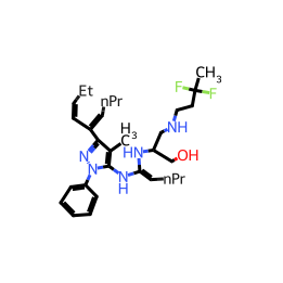 CC/C=C\C(=C/CCC)c1nn(-c2ccccc2)c(N/C(=C/CCC)NC(CO)CNCCC(C)(F)F)c1C